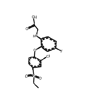 CCS(=O)(=O)c1ccc(Oc2cc(F)ccc2NCC(=O)O)c(Cl)c1